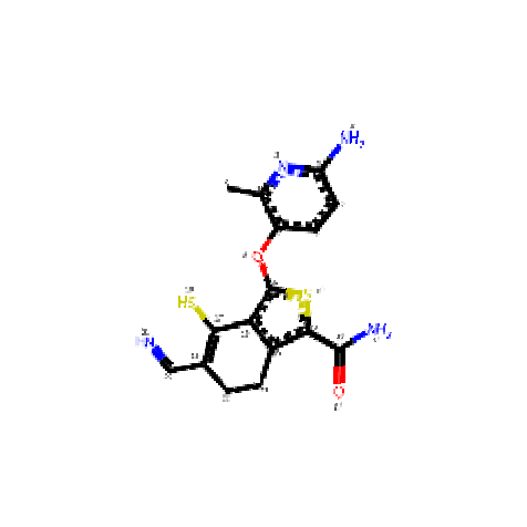 Cc1nc(N)ccc1Oc1sc(C(N)=O)c2c1C(S)=C(C=N)CC2